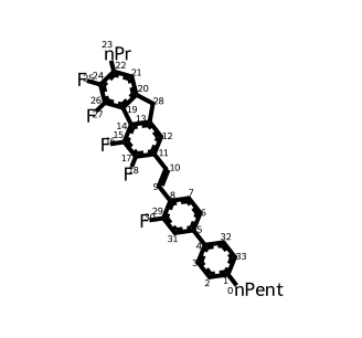 CCCCCc1ccc(-c2ccc(C=Cc3cc4c(c(F)c3F)-c3c(cc(CCC)c(F)c3F)C4)c(F)c2)cc1